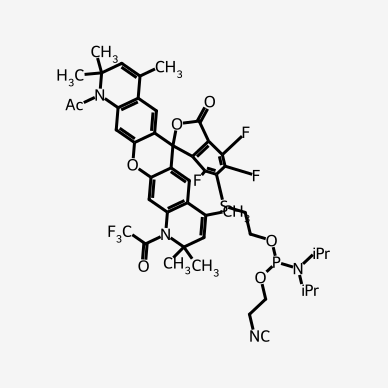 [C-]#[N+]CCOP(OCCSc1c(F)c(F)c2c(c1F)C1(OC2=O)c2cc3c(cc2Oc2cc4c(cc21)C(C)=CC(C)(C)N4C(=O)C(F)(F)F)N(C(C)=O)C(C)(C)C=C3C)N(C(C)C)C(C)C